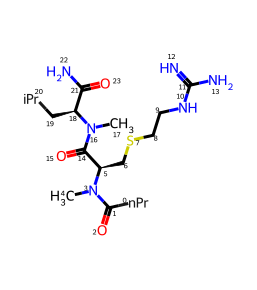 CCCC(=O)N(C)[C@H](CSCCNC(=N)N)C(=O)N(C)[C@@H](CC(C)C)C(N)=O